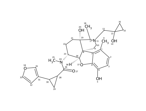 Cc1ccc(O)c2c1[C@]13CCN(CC4(O)CC4)C(C)[C@]1(O)CC[C@@H](N(C)C(=O)C1CC1c1ccoc1)[C@@H]3O2